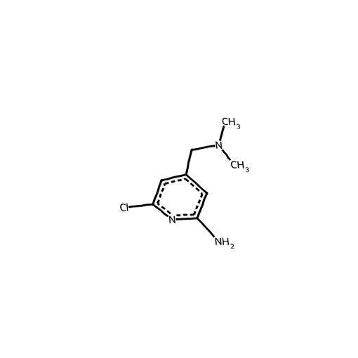 CN(C)Cc1cc(N)nc(Cl)c1